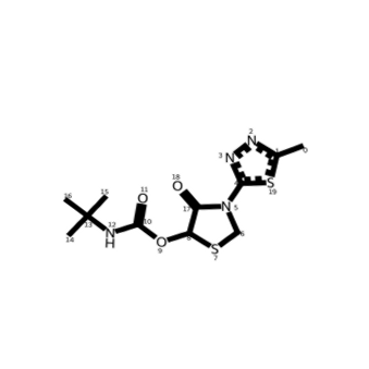 Cc1nnc(N2CSC(OC(=O)NC(C)(C)C)C2=O)s1